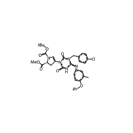 COC(=O)[C@@H]1CC(n2c(=O)[nH]/c(=N\c3ccc(OC(C)C)c(C)c3)n(Cc3ccc(Cl)cc3)c2=O)=CN1C(=O)OC(C)(C)C